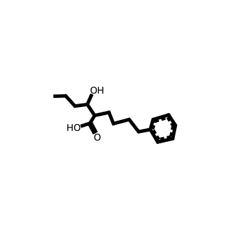 CCCC(O)C(CCCCc1ccccc1)C(=O)O